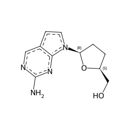 Nc1ncc2ccn([C@H]3CC[C@@H](CO)O3)c2n1